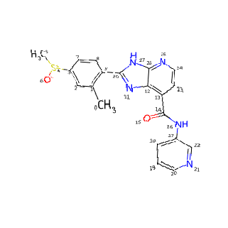 Cc1cc([S+](C)[O-])ccc1-c1nc2c(C(=O)Nc3cccnc3)ccnc2[nH]1